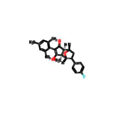 Cc1cc(C)c(C2=C(O)[C@]3(C)[C@@H]4O[C@@H](CC4c4ccc(F)cc4)[C@@H]3C2=O)c(C)c1